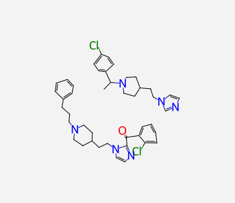 CC(c1ccc(Cl)cc1)N1CCC(CCn2ccnc2)CC1.O=C(c1ccccc1Cl)c1nccn1CCC1CCN(CCCc2ccccc2)CC1